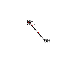 C/C(=C\CCCCCCCCCCCCCCCCCCCCCCCCO)C(N)=O